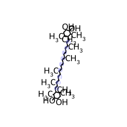 CC(/C=C/C=C(C)/C=C/C1C(C)C(O)C(O)CC1(C)C)=C\C=C\C=C(C)\C=C\C=C(C)\C=C\C1C(C)C(O)C(O)CC1(C)C